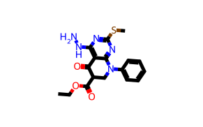 CCOC(=O)C1CN(c2ccccc2)c2nc(SC)nc(NN)c2C1=O